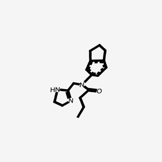 CCCC(=O)N(CC1=NCCN1)c1ccc2c(c1)CCC2